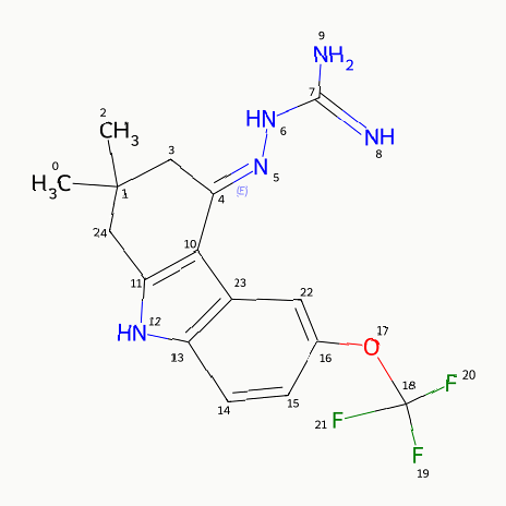 CC1(C)C/C(=N\NC(=N)N)c2c([nH]c3ccc(OC(F)(F)F)cc23)C1